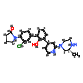 C[C@@H]1CN(c2cc(-c3cccc(-c4ccc(N5CCCC5=O)c(Cl)c4)c3O)ccn2)CCN1